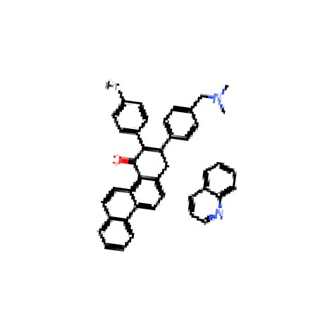 CC(C)c1ccc(C2C(=O)c3c(ccc4c3ccc3ccccc34)CC2c2ccc(CN(C)C)cc2)cc1.c1ccc2ncccc2c1